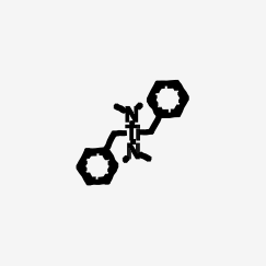 C[N](C)[Ti]([CH2]c1ccccc1)([CH2]c1ccccc1)[N](C)C